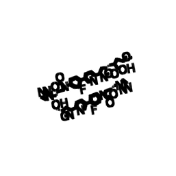 COCCC(C[C@H]1CC(c2ccc(-c3ccc(N4C[C@H](Cn5ccnn5)OC4=O)cc3F)cn2)=NO1)C(=O)O.O=C1O[C@@H](Cn2ccnn2)CN1c1ccc(-c2ccc(C3=NO[C@H](CO)C3)nc2)c(F)c1